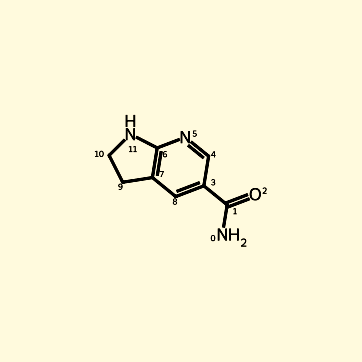 NC(=O)c1cnc2c(c1)CCN2